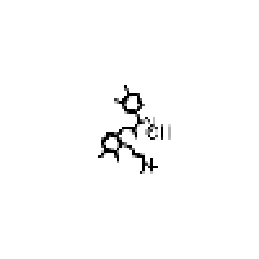 Cc1ccc(C(=NO)C(C)Cc2ccc(C)c(C)c2CCCN(C)C)cc1C